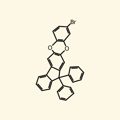 Brc1ccc2c(c1)Oc1cc3c(cc1O2)-c1ccccc1C3(c1ccccc1)c1ccccc1